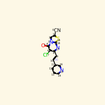 N#Cc1cn2c(=O)c(Cl)c(/C=C/c3cccnc3)nc2s1